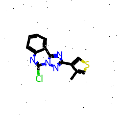 Cc1cscc1-c1nc2c3ccccc3nc(Cl)n2n1